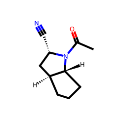 CC(=O)N1[C@@H]2CCC[C@H]2C[C@@H]1C#N